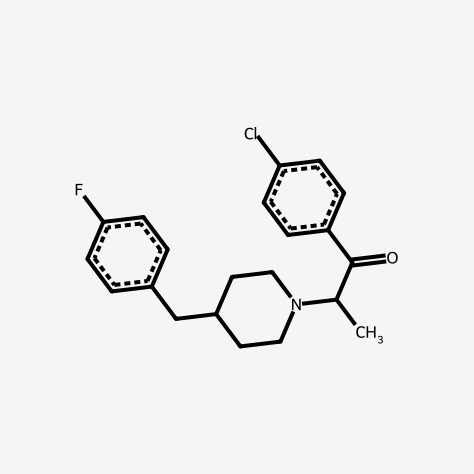 CC(C(=O)c1ccc(Cl)cc1)N1CCC(Cc2ccc(F)cc2)CC1